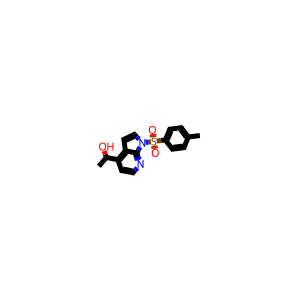 Cc1ccc(S(=O)(=O)n2ccc3c(C(C)O)ccnc32)cc1